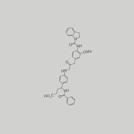 COc1cc(CC(=O)CNc2ccc(C(CCC(=O)O)NC(=O)c3ccccc3)cc2)ccc1NC(=O)N1CCc2ccccc21